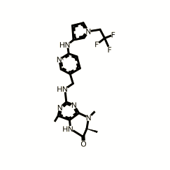 Cc1nc(NCc2ccc(Nc3ccn(CC(F)(F)F)c3)nc2)nc2c1NC(=O)[C@H](C)N2C